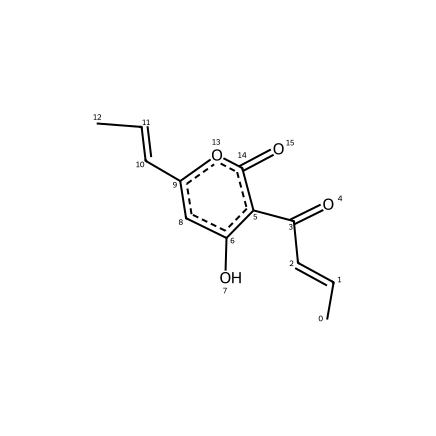 C/C=C/C(=O)c1c(O)cc(/C=C/C)oc1=O